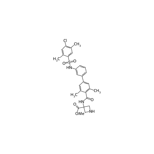 COC(=O)C1(NC(=O)c2c(C)cc(-c3cccc(NS(=O)(=O)c4cc(C)c(Cl)cc4C)c3)cc2C)CNC1